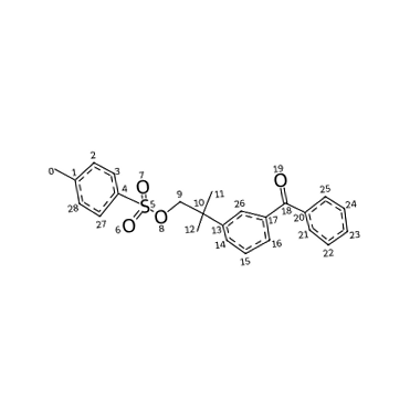 Cc1ccc(S(=O)(=O)OCC(C)(C)c2cccc(C(=O)c3ccccc3)c2)cc1